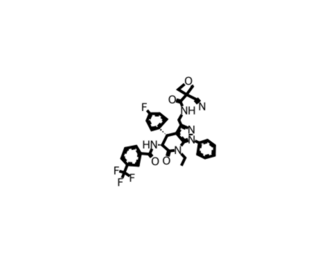 CCN1C(=O)[C@H](NC(=O)c2cccc(C(F)(F)F)c2)[C@H](c2ccc(F)cc2)c2c(CNC(=O)C3(C#N)COC3)nn(-c3ccccc3)c21